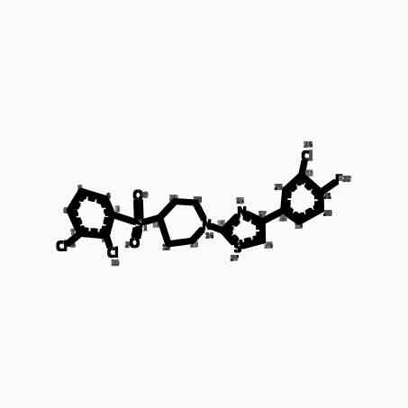 O=S(=O)(c1cccc(Cl)c1Cl)C1CCN(c2nc(-c3ccc(F)c(Cl)c3)cs2)CC1